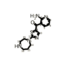 Nc1ncccc1C(=O)c1cnc(N2CCCNCC2)s1